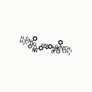 CCN(CC)[C@@H](C(=O)N1CCC[C@H]1C(=O)Nc1ccc2[nH]c(-c3ccc(-c4nnc([C@@H]5CCCN5C(=O)[C@@H](c5ccccc5)N(CC)CC)o4)cc3)cc2c1)c1ccccc1